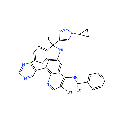 [2H]C(Nc1cc(-c2cncnc2)c2ncc(C#N)c(NC(CC)c3ccccc3)c2c1)(c1ccc(F)cc1)c1cn(C2CC2)nn1